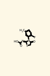 Cc1ccc(F)c(N2C(=O)CS/C2=N\C(=O)O)c1